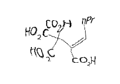 CCCC=C(C(=O)O)C(C(=O)O)(C(=O)O)C(=O)O